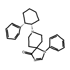 O=C1N=CN(c2ccccc2)C12CCN([C@H]1CCCC[C@H]1c1ccccc1)CC2